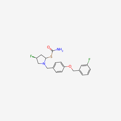 NC(=O)SC1C[C@H](F)CN1Cc1ccc(OCc2cccc(F)c2)cc1